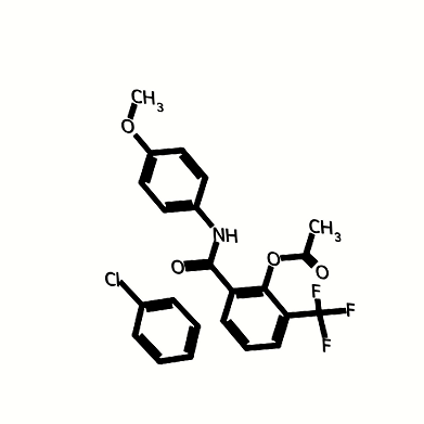 COc1ccc(NC(=O)c2cccc(C(F)(F)F)c2OC(C)=O)cc1.Clc1ccccc1